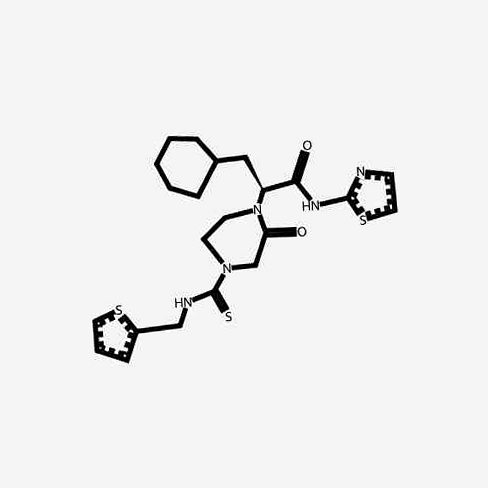 O=C(Nc1nccs1)[C@H](CC1CCCCC1)N1CCN(C(=S)NCc2cccs2)CC1=O